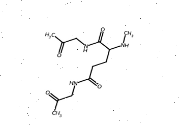 CNC(CCC(=O)NCC(C)=O)C(=O)NCC(C)=O